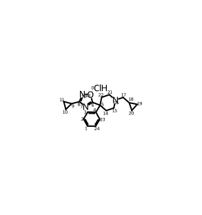 Cl.c1ccc(C2(c3nc(C4CC4)no3)CCN(CC3CC3)CC2)cc1